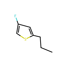 CCCc1cc(F)cs1